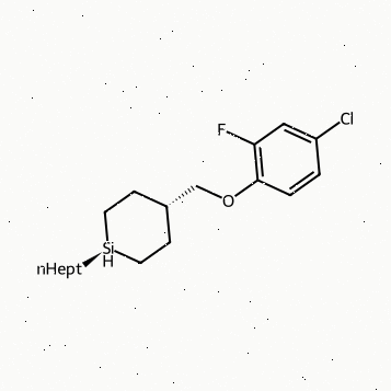 CCCCCCC[Si@H]1CC[C@H](COc2ccc(Cl)cc2F)CC1